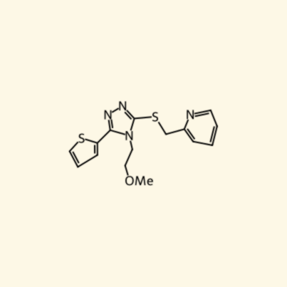 COCCn1c(SCc2ccccn2)nnc1-c1cccs1